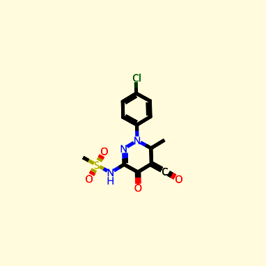 CC1C(=C=O)C(=O)C(NS(C)(=O)=O)=NN1c1ccc(Cl)cc1